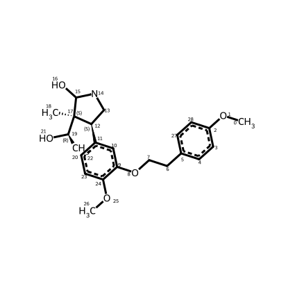 COc1ccc(CCOc2cc([C@@H]3C[N]C(O)[C@]3(C)[C@@H](C)O)ccc2OC)cc1